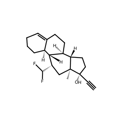 C#C[C@]1(O)CC[C@H]2[C@@H]3CCC4=CCCC[C@@H]4[C@H]3[C@@H](C(F)F)C[C@@]21C